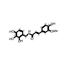 COc1cc(C=CC(=O)NCc2ccc(O)c(O)c2O)ccc1O